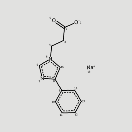 O=C([O-])CCn1cnc(-c2ccccc2)c1.[Na+]